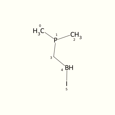 CP(C)CBI